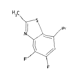 Cc1nc2c(F)c(F)cc(C(C)C)c2s1